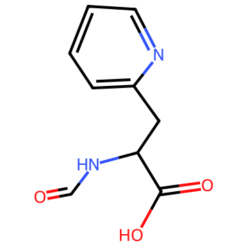 O=CNC(Cc1ccccn1)C(=O)O